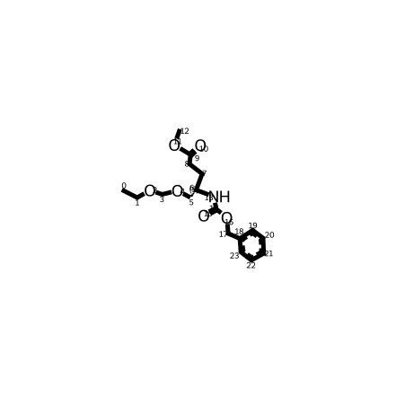 CCOCOC[C@H](CCC(=O)OC)NC(=O)OCc1ccccc1